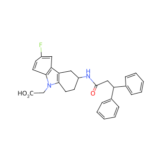 O=C(O)Cn1c2c(c3cc(F)ccc31)CC(NC(=O)CC(c1ccccc1)c1ccccc1)CC2